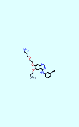 C#Cc1cccc(Nc2ncnc3cc(OCCOCCCN)c(OCCOC)cc23)c1